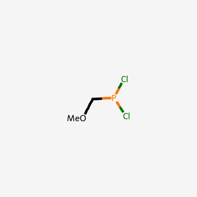 COCP(Cl)Cl